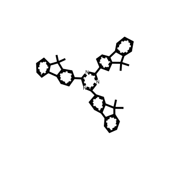 CC1(C)c2ccccc2-c2ccc(-c3nc(-c4ccc5c(c4)C(C)(C)c4ccccc4-5)nc(-c4ccc5c(c4)C(C)(C)c4ccccc4-5)n3)cc21